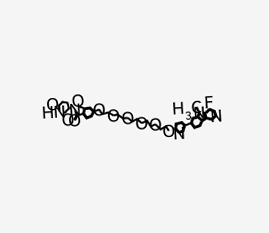 Cn1c2cc(-c3ccc(OCCOCCOCCOCCOCCOc4ccc5c(c4)C(=O)N(C4CCC(=O)NC4=O)C5=O)nc3)ccc2c2cncc(F)c21